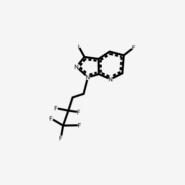 Fc1cnc2c(c1)c(I)nn2CCC(F)(F)C(F)(F)F